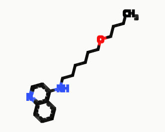 CCCCOCCCCCCNc1ccnc2ccccc12